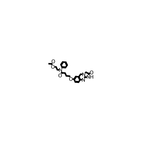 CC(=O)OCCN(C(=O)CCCOc1ccc2c(c1)CN1CC(=O)NC1=N2)c1ccccc1